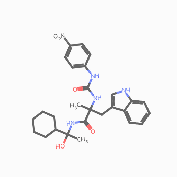 CC(Cc1c[nH]c2ccccc12)(NC(=O)Nc1ccc([N+](=O)[O-])cc1)C(=O)NC(C)(O)C1CCCCC1